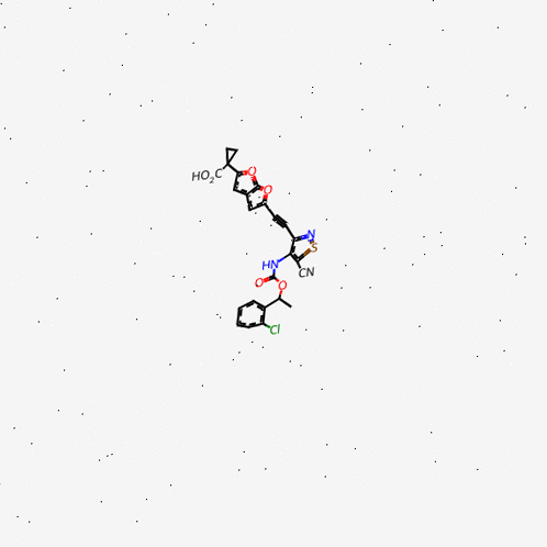 CC(OC(=O)Nc1c(C#Cc2cc3cc(C4(C(=O)O)CC4)oc3o2)nsc1C#N)c1ccccc1Cl